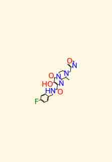 CC1c2nc(C(=O)NCc3ccc(F)cc3)c(O)c(=O)n2CCN1Cc1cocn1